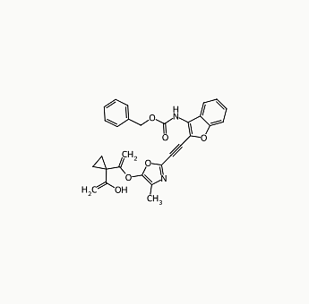 C=C(O)C1(C(=C)Oc2oc(C#Cc3oc4ccccc4c3NC(=O)OCc3ccccc3)nc2C)CC1